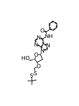 CC(C)(C)SSCOC1C[C@H](n2cnc3c(NC(=O)c4ccccc4)ncnc32)O[C@@H]1CO